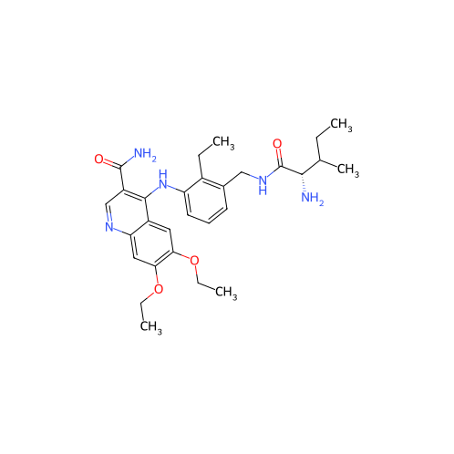 CCOc1cc2ncc(C(N)=O)c(Nc3cccc(CNC(=O)[C@@H](N)C(C)CC)c3CC)c2cc1OCC